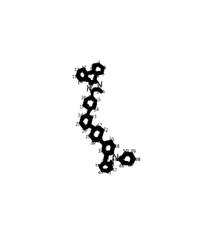 Cc1nc2c3ccccc3c3ccccc3c2nc1-c1ccc(-c2cccc(-c3ccc(-c4ccc5c(c4)c4ccccc4n5-c4ccccc4)cc3)c2)cc1